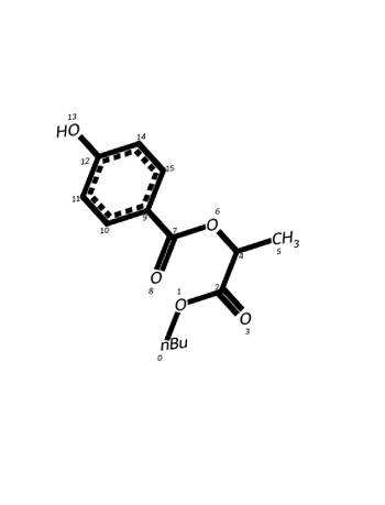 CCCCOC(=O)C(C)OC(=O)c1ccc(O)cc1